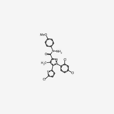 COc1ccc(N(N)C(=O)c2nn(-c3ccc(Cl)cc3Cl)c(-c3ccc(Cl)s3)c2C)cc1